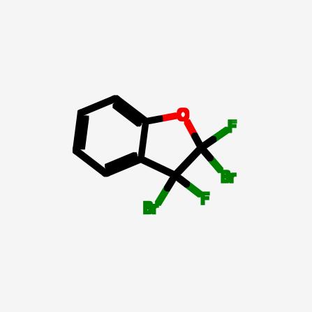 FC1(Br)Oc2ccccc2C1(F)Br